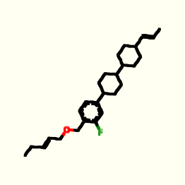 CC=CC1CCC(C2CCC(c3ccc(COCC=CCC)c(F)c3)CC2)CC1